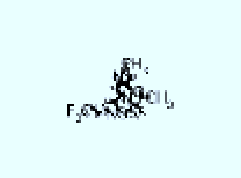 CC(Oc1nc(-c2cnn(CCC(F)(F)F)c2)cc2nn(C)cc12)[C@H]1CNC(=O)C1